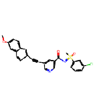 COc1ccc2cc(C#Cc3cncc(C(=O)N=S(C)(=O)c4cccc(Cl)c4)c3)ccc2c1